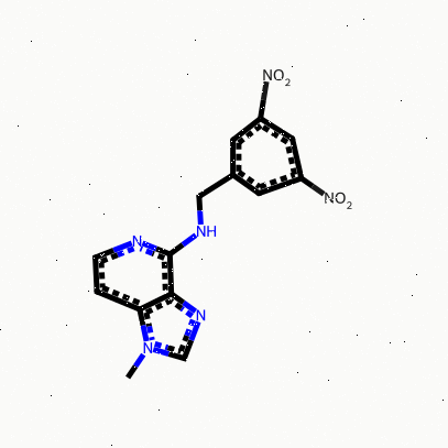 Cn1cnc2c(NCc3cc([N+](=O)[O-])cc([N+](=O)[O-])c3)nccc21